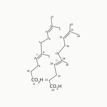 CC(C)=CCC/C(C)=C/CCC(=O)O.CC(C)=CCC/C(C)=C/CCC(=O)O